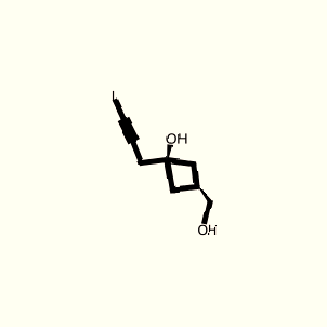 OC[C@H]1C[C@](O)(CC#CI)C1